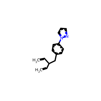 C=CC(C=C)Cc1ccc(-n2cccn2)cc1